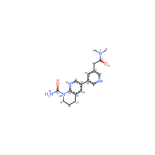 CN(C)C(=O)Cc1cncc(-c2cnc3c(c2)CCCN3C(N)=O)c1